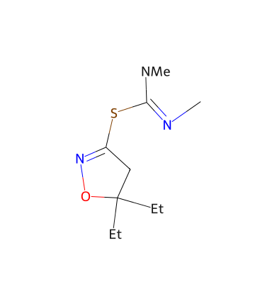 CCC1(CC)CC(SC(=NC)NC)=NO1